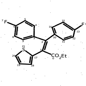 CCOC(=O)C(=C(c1ccc(F)cc1)c1ccc(F)cc1)c1cccs1